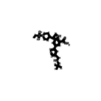 CCS(=O)(=O)N1CCC(c2c[nH]c3c(C(N)=O)cc(-c4cncc(CNCC(C)(C)C)c4)cc23)CC1